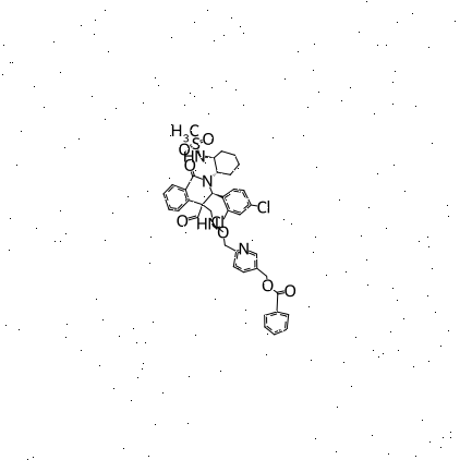 CS(=O)(=O)N[C@H]1CCCC[C@@H]1N1C(=O)c2ccccc2C(C=O)(CNOCc2ccc(COC(=O)c3ccccc3)cn2)[C@@H]1c1ccc(Cl)cc1Cl